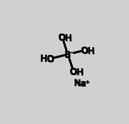 O[B-](O)(O)O.[Na+]